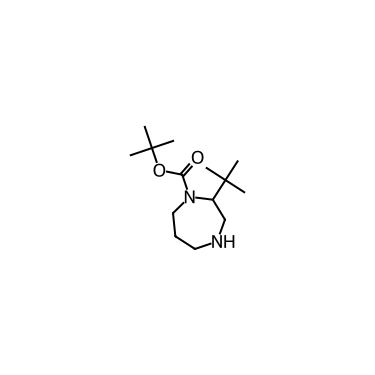 CC(C)(C)OC(=O)N1CCCNCC1C(C)(C)C